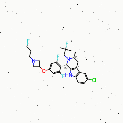 C[C@H]1Cc2c([nH]c3ccc(Cl)cc23)[C@H](c2c(F)cc(OC3CN(CCCF)C3)cc2F)N1CC(C)(C)F